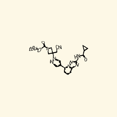 CC(C)(C)OC(=O)N1CC(CC#N)(n2cc(-c3cccc4nc(NC(=O)C5CC5)nn34)cn2)C1